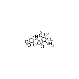 CCOc1c(N)c2c(c(OCC)c1OCC)C(C1c3c(cc4c(c3OC)OCO4)CN1C)OC2=O